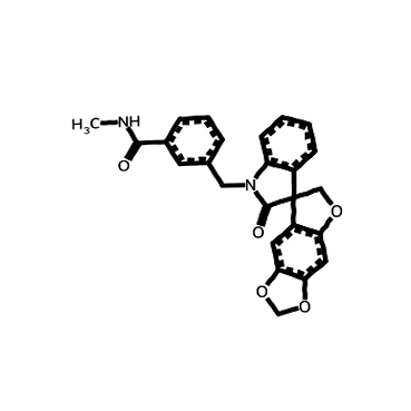 CNC(=O)c1cccc(CN2C(=O)C3(COc4cc5c(cc43)OCO5)c3ccccc32)c1